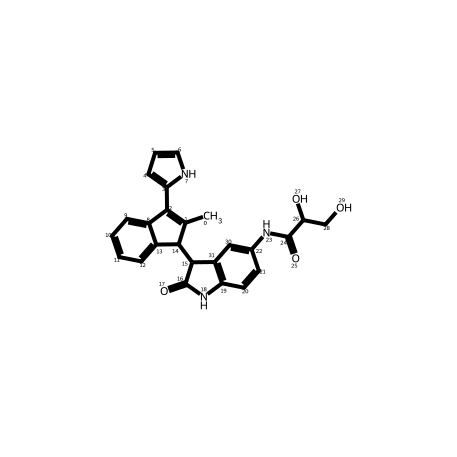 CC1=C(c2ccc[nH]2)c2ccccc2C1C1C(=O)Nc2ccc(NC(=O)C(O)CO)cc21